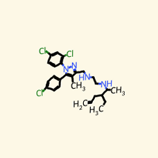 C=CCC(CC)C(C)NCCNCc1nn(-c2ccc(Cl)cc2Cl)c(-c2ccc(Cl)cc2)c1C